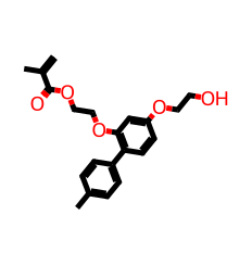 C=C(C)C(=O)OCCOc1cc(OCCO)ccc1-c1ccc(C)cc1